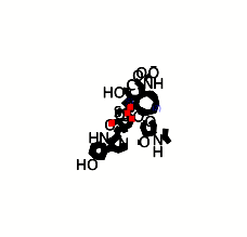 COC(=O)NC1=C2C#C/C=C\C#C[C@H](OC3OC(C)C(C)(C(=O)c4nccc5c4[nH]c4ccc(O)cc45)CC3OC3CC(OC)C(NC(C)C)CO3)C2/C(=C\CS(C)(=S)=S)[C@@H](O)CC1=O